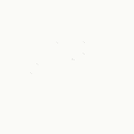 O=C(/C=C/Cn1ccnc1)N1CCCOc2cc3ncnc(Nc4ccc(OCc5cccc(F)c5)c(Cl)c4)c3cc21